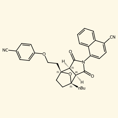 CCCC[C@@]12CC[C@@](CCOc3ccc(C#N)cc3)(O1)[C@H]1C(=O)N(c3ccc(C#N)c4ccccc34)C(=O)[C@H]12